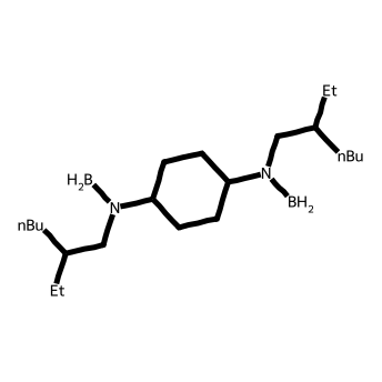 BN(CC(CC)CCCC)C1CCC(N(B)CC(CC)CCCC)CC1